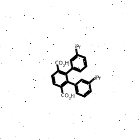 CC(C)c1cccc(-c2c(C(=O)O)ccc(C(=O)O)c2-c2cccc(C(C)C)c2)c1